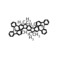 Cc1cc(-c2ccccc2-n2c3ccccc3c3ccccc32)cc2c1-c1cc3c(cc1C2(C)C)-c1c(C)cc(-c2ccccc2-n2c4ccccc4c4ccccc42)cc1C3(C)C